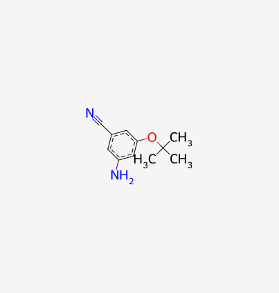 CC(C)(C)Oc1cc(N)cc(C#N)c1